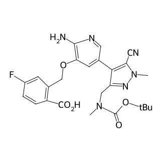 CN(Cc1nn(C)c(C#N)c1-c1cnc(N)c(OCc2cc(F)ccc2C(=O)O)c1)C(=O)OC(C)(C)C